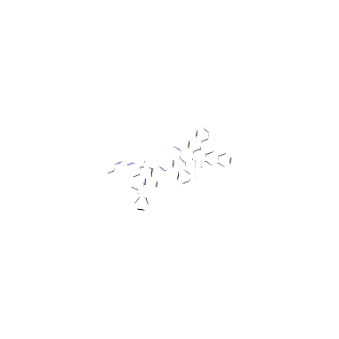 C=C/C=C\C=C\c1nc(/C=C/c2c(C)c(/C=C\C)c(C3Nc4cc5ccccc5cc4-c4c3ccc3ccccc43)c3ccccc23)c(C=C)/c(=c2\oc3ccccc3c2=C)c1=C